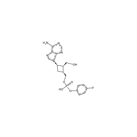 Nc1ncnc2c1ncn2[C@@H]1C[C@H](COP(=O)(O)Oc2ccc(F)cc2)[C@@H]1CO